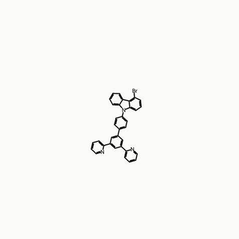 Brc1cccc2c1c1ccccc1n2-c1ccc(-c2cc(-c3ccccn3)cc(-c3ccccn3)c2)cc1